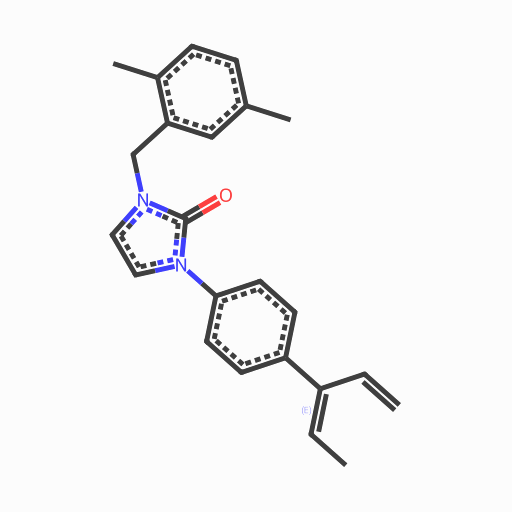 C=C/C(=C\C)c1ccc(-n2ccn(Cc3cc(C)ccc3C)c2=O)cc1